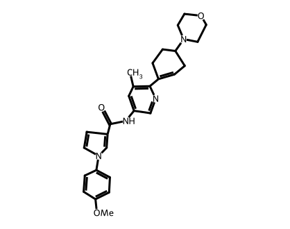 COc1ccc(-n2ccc(C(=O)Nc3cnc(C4=CCC(N5CCOCC5)CC4)c(C)c3)c2)cc1